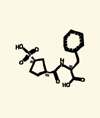 O=C(N[C@@H](Cc1ccccc1)C(=O)O)[C@H]1CC[C@H](S(=O)(=O)O)C1